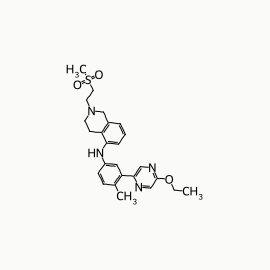 CCOc1cnc(-c2cc(Nc3cccc4c3CCN(CCS(C)(=O)=O)C4)ccc2C)cn1